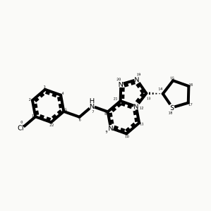 Clc1cccc(CNc2nccn3c([C@@H]4CCCS4)nnc23)c1